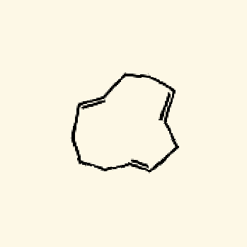 [CH]1/C=C/C/C=C/CCC/C=C/C1